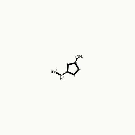 CC(C)N[C@@H]1CC[C@H](N)C1